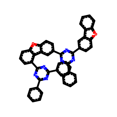 c1ccc(-c2nc(-c3ccc4oc5ccccc5c4c3)nc(-c3ccc4oc5cccc(-c6nc(-c7ccccc7)nc(-c7ccccc7)n6)c5c4c3)n2)cc1